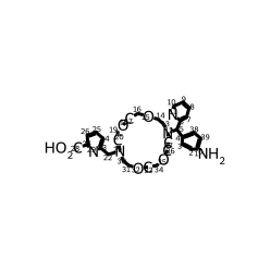 Nc1ccc(C(c2ccccn2)N2CCOCCOCCN(Cc3cccc(C(=O)O)n3)CCOCCOCC2)cc1